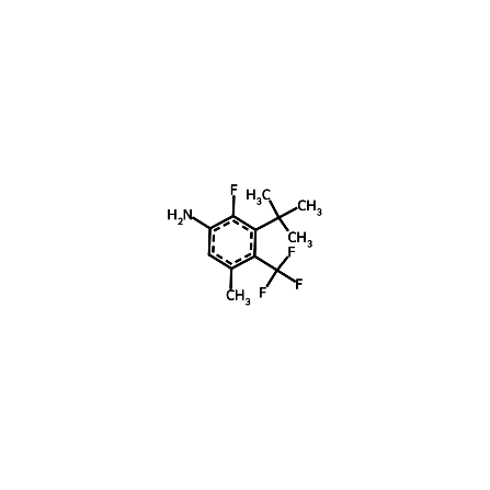 Cc1cc(N)c(F)c(C(C)(C)C)c1C(F)(F)F